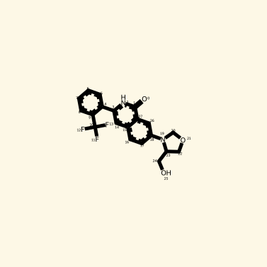 O=c1[nH]c(-c2ccccc2C(F)(F)F)cc2ccc(N3COCC3CO)cc12